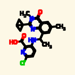 Cc1cc(C(C)Nc2ccc(Cl)nc2C(=O)O)c2nc(C34CC3C4)n(C)c(=O)c2c1